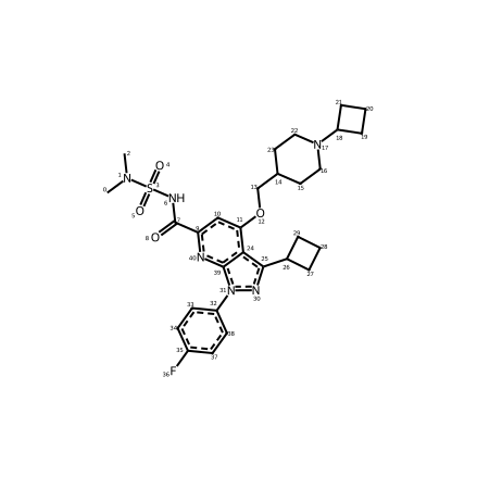 CN(C)S(=O)(=O)NC(=O)c1cc(OCC2CCN(C3CCC3)CC2)c2c(C3CCC3)nn(-c3ccc(F)cc3)c2n1